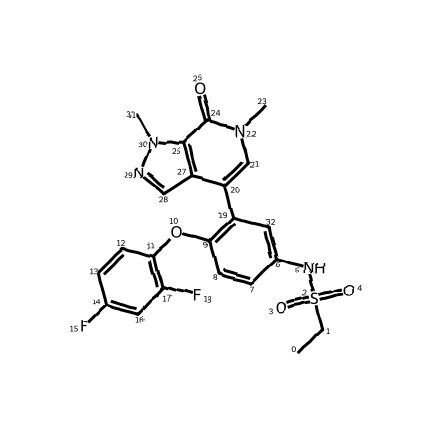 CCS(=O)(=O)Nc1ccc(Oc2ccc(F)cc2F)c(-c2cn(C)c(=O)c3c2cnn3C)c1